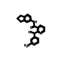 Nc1cc(C(S)c2ncccc2C(=O)Nc2ccc3c(c2)CCC3)ccn1